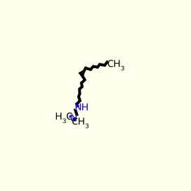 CCCCCCCCC1CC1CCCCCCCCNCCN(C)C